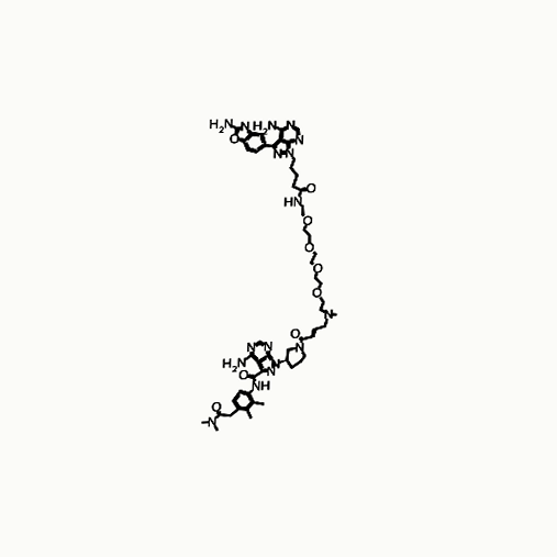 Cc1c(CC(=O)N(C)C)ccc(NC(=O)c2nn([C@@H]3CCCN(C(=O)/C=C/CN(C)CCOCCOCCOCCOCCNC(=O)CCCCn4nc(-c5ccc6oc(N)nc6c5)c5c(N)ncnc54)C3)c3ncnc(N)c23)c1C